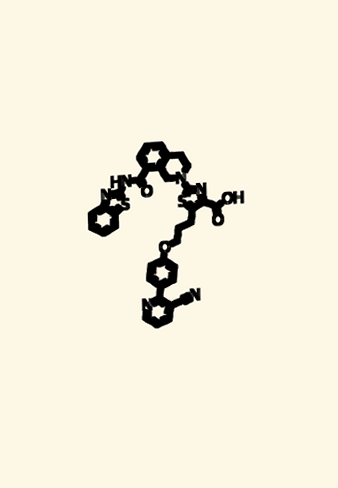 N#Cc1cccnc1-c1ccc(OCCCc2sc(N3CCc4cccc(C(=O)Nc5nc6ccccc6s5)c4C3)nc2C(=O)O)cc1